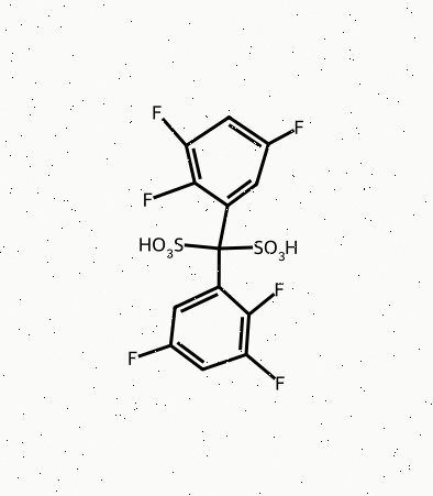 O=S(=O)(O)C(c1cc(F)cc(F)c1F)(c1cc(F)cc(F)c1F)S(=O)(=O)O